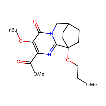 CCCCOc1c(C(=O)OC)nc2n(c1=O)CC1CCC2(OCCOC)CC1